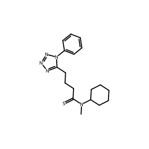 CN(C(=S)CCCc1nnnn1-c1ccccc1)C1CCCCC1